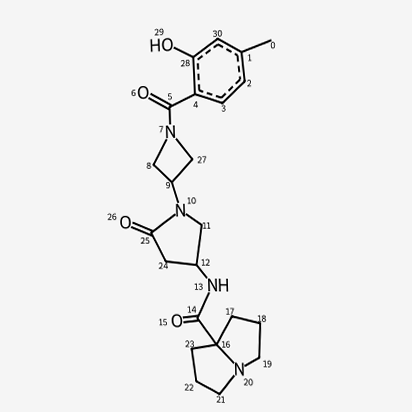 Cc1ccc(C(=O)N2CC(N3CC(NC(=O)C45CCCN4CCC5)CC3=O)C2)c(O)c1